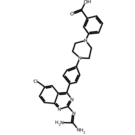 NC(N)=Nc1nc(-c2ccc(N3CCN(c4cccc(C(=O)O)c4)CC3)cc2)c2cc(Cl)ccc2n1